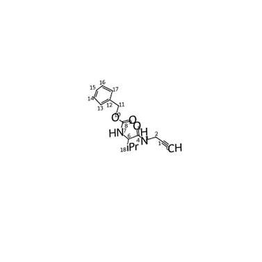 C#CCNC(=O)C(NC(=O)OCc1ccccc1)C(C)C